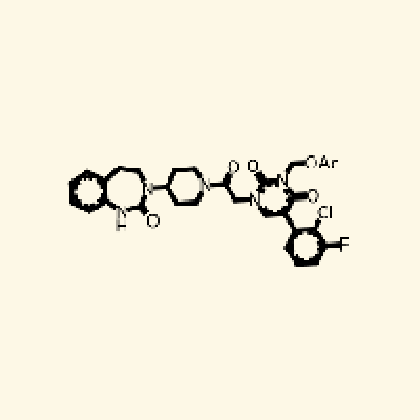 CC(=O)OCn1c(=O)c(-c2cccc(F)c2Cl)cn(CC(=O)N2CCC(N3CCc4ccccc4NC3=O)CC2)c1=O